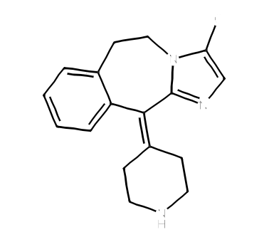 Clc1cnc2n1CCc1ccccc1C2=C1CCNCC1